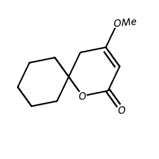 COC1=CC(=O)OC2(CCCCC2)C1